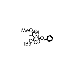 COC(=O)[C@H](C)[C@H](NC(=O)OCc1ccccc1)C(=O)OC(C)(C)C